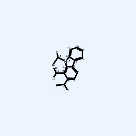 CC(C)c1ccc2c3ccccc3n(C(C)C)c2c1C(C)C